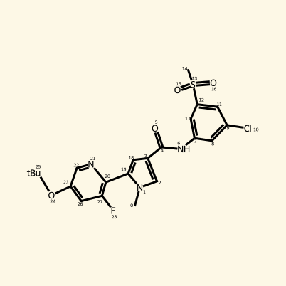 Cn1cc(C(=O)Nc2cc(Cl)cc(S(C)(=O)=O)c2)cc1-c1ncc(OC(C)(C)C)cc1F